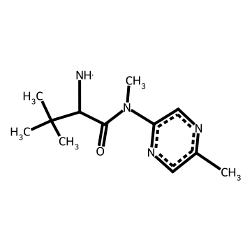 Cc1cnc(N(C)C(=O)C([NH])C(C)(C)C)cn1